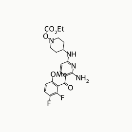 CCOC(=O)ON1CCC(Nc2ccc(C(=O)c3c(OC)ccc(F)c3F)c(N)n2)CC1